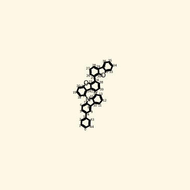 c1ccc(-c2ccc3c(c2)c2ccccc2n3-c2cccc3oc4c(-c5cccc6c5oc5ccccc56)cccc4c23)cc1